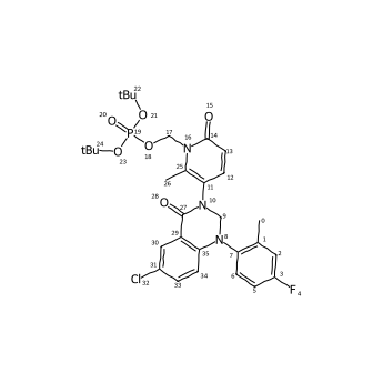 Cc1cc(F)ccc1N1CN(c2ccc(=O)n(COP(=O)(OC(C)(C)C)OC(C)(C)C)c2C)C(=O)c2cc(Cl)ccc21